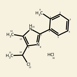 Cc1ccccc1-c1nc(C(C)Cl)c(C)[nH]1.Cl